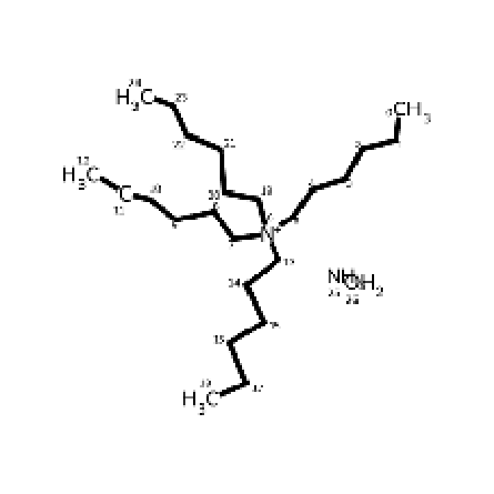 CCCCCC[N+](CCCCCC)(CCCCCC)CCCCCC.N.O